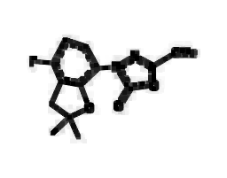 COc1nn(-c2ccc(F)c3c2OC(C)(C)C3)c(=O)o1